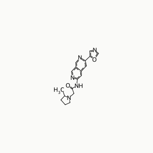 CC1CCCN1CC(=O)Nc1cc2cc(-c3cnco3)ncc2cn1